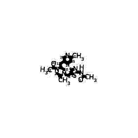 CC(=O)Nc1ncc(CN2CC(Cc3ccc(C)nc3)N(C(C)=O)C[C@@H]2C)s1